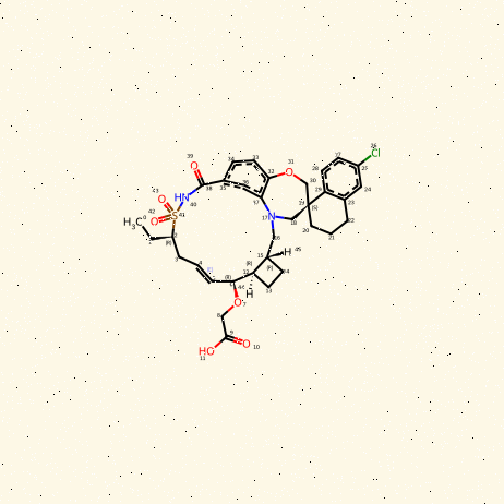 CC[C@@H]1C/C=C/[C@H](OCC(=O)O)[C@@H]2CC[C@H]2CN2C[C@@]3(CCCc4cc(Cl)ccc43)COc3ccc(cc32)C(=O)NS1(=O)=O